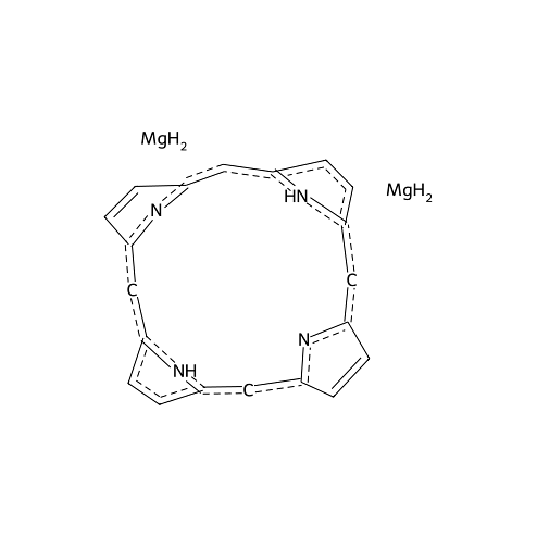 C1=Cc2cc3ccc(cc4nc(cc5ccc(cc1n2)[nH]5)C=C4)[nH]3.[MgH2].[MgH2]